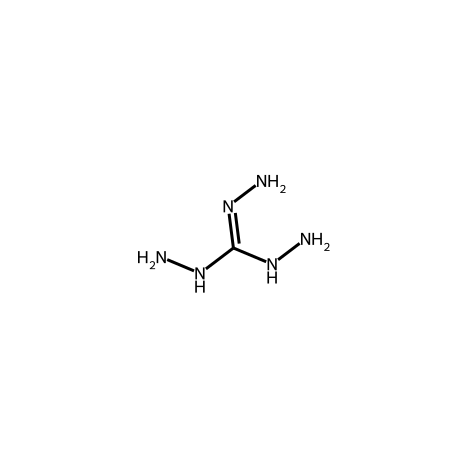 NN=C(NN)NN